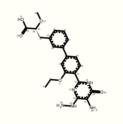 CCOc1cc(-c2cccc(C[C@@H](OC)C(=O)O)c2)ccc1-c1nc(NN)c(N)c(=O)[nH]1